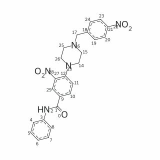 O=C(Nc1ccccc1)c1ccc(N2CCN(Cc3ccc([N+](=O)[O-])cc3)CC2)c([N+](=O)[O-])c1